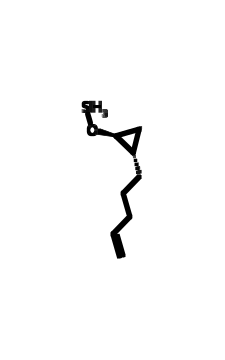 C=CCCC[C@H]1C[C@@H]1O[SiH3]